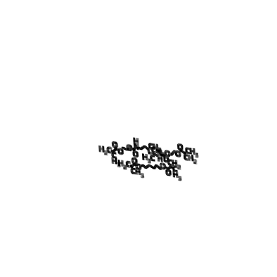 C=C(C)C(=O)OCCCCCCOC(=O)C(=C)C.C=C(C)C(=O)OCCOC(=O)NCCC(C)CC(C)(C)CNC(=O)OCCOC(=O)C(=C)C